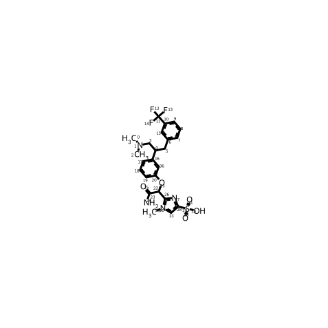 CN(C)CC(Cc1cccc(C(F)(F)F)c1)c1cccc(OC(C(N)=O)c2nc(S(=O)(=O)O)cn2C)c1